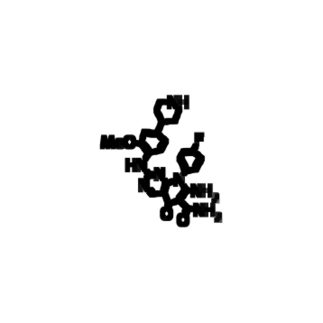 COc1cc(C2CCNCC2)ccc1Nc1ncc2c(=O)c(C(N)=O)c(N)n(-c3ccc(F)cc3)c2n1